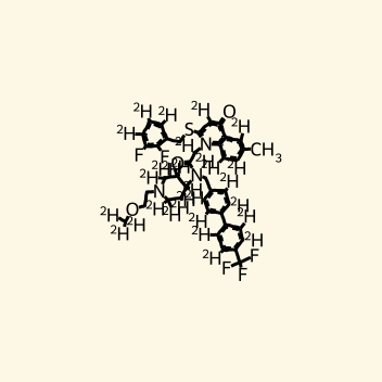 [2H]c1c([2H])c(F)c(F)c(CSc2c([2H])c(=O)c3c([2H])c(C)c([2H])c([2H])c3n2C([2H])([2H])C(=O)N(Cc2c([2H])c([2H])c(-c3c([2H])c([2H])c(C(F)(F)F)c([2H])c3[2H])c([2H])c2[2H])C2([2H])C([2H])([2H])C([2H])([2H])N(CCOC([2H])([2H])[2H])C([2H])([2H])C2([2H])[2H])c1[2H]